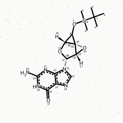 CC(C)(C)[Si](C)(C)OC1[C@H]2O[C@@H](n3cnc4c(=O)[nH]c(N)nc43)[C@H]3O[C@@]123